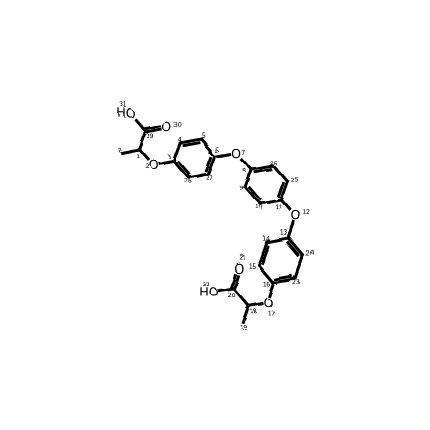 CC(Oc1ccc(Oc2ccc(Oc3ccc(OC(C)C(=O)O)cc3)cc2)cc1)C(=O)O